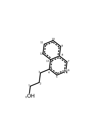 OCCCc1cncc2ccccc12